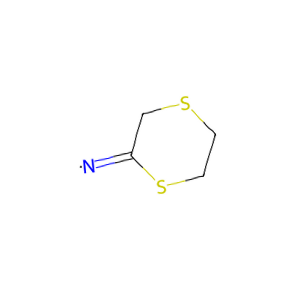 [N]=C1CSCCS1